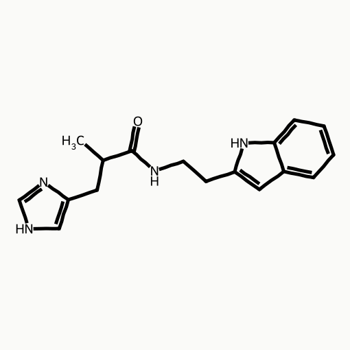 CC(Cc1c[nH]cn1)C(=O)NCCc1cc2ccccc2[nH]1